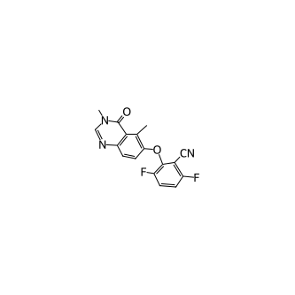 Cc1c(Oc2c(F)ccc(F)c2C#N)ccc2ncn(C)c(=O)c12